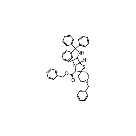 O=C(OCc1ccccc1)C1N2C(=O)C(NC(c3ccccc3)(c3ccccc3)c3ccccc3)[C@@H]2SC12CCN(Cc1ccccc1)CC2